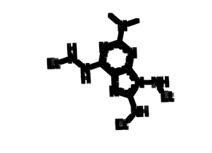 CCNNc1nc(N(C)C)nc2c1nc(NCC)n2NCC